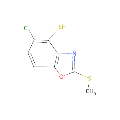 CSc1nc2c(S)c(Cl)ccc2o1